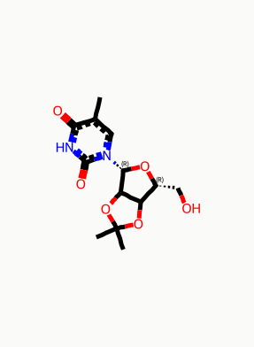 Cc1cn([C@@H]2O[C@H](CO)C3OC(C)(C)OC32)c(=O)[nH]c1=O